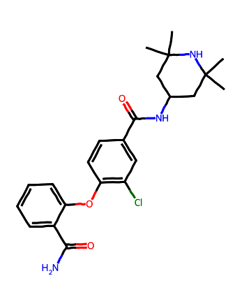 CC1(C)CC(NC(=O)c2ccc(Oc3ccccc3C(N)=O)c(Cl)c2)CC(C)(C)N1